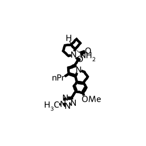 CCCc1cc(C(=O)N2CCC[C@H]3CC[C@]32C(N)=O)n2c1-c1cc(-c3nnn(C)n3)c(OC)cc1CC2